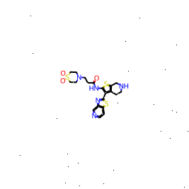 O=C(CCN1CCS(=O)(=O)CC1)Nc1sc2c(c1-c1nc3cnccc3s1)CCNC2